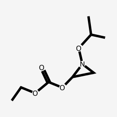 CCOC(=O)OC1CN1OC(C)C